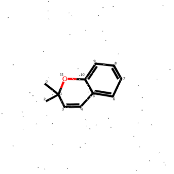 CC1(C)C=[C]c2ccccc2O1